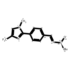 Cn1cc(C(F)(F)F)nc1-c1ccc(C=N[S@@+]([O-])C(C)(C)C)cc1